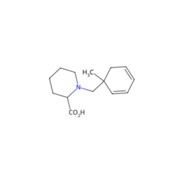 CC1(CN2CCCCC2C(=O)O)C=CC=CC1